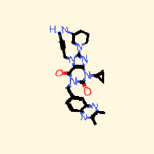 CC#CCn1c(N2CCCC(N)C2)nc2c1c(=O)n(Cc1ccc3nc(C)c(C)nc3c1)c(=O)n2C1CC1